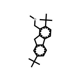 COCc1c(C(C)(C)C)ccc2c1Cc1cc(C(C)(C)C)ccc1-2